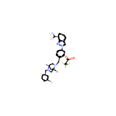 NC(=O)c1cccc2cn(-c3ccc(CN4C[C@@H]5C[C@H]4CN5Cc4cccc(Cl)c4)cc3)nc12.O=C(O)C(F)(F)F